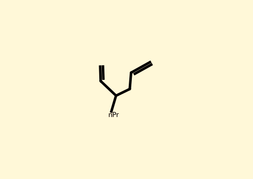 C=CC[C](C=C)CCC